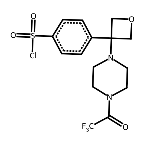 O=C(N1CCN(C2(c3ccc(S(=O)(=O)Cl)cc3)COC2)CC1)C(F)(F)F